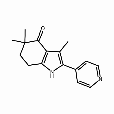 Cc1c(-c2ccncc2)[nH]c2c1C(=O)C(C)(C)CC2